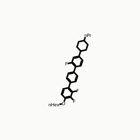 CCCCCCOc1ccc(-c2ccc(-c3ccc(C4CCC(CCC)CC4)cc3F)cc2)c(F)c1F